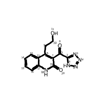 O=C(c1nnn[nH]1)c1c(CCO)c2ccccc2[nH]c1=O